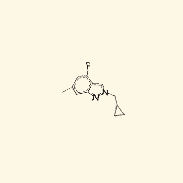 Cc1cc(F)c2cn(CC3CC3)nc2c1